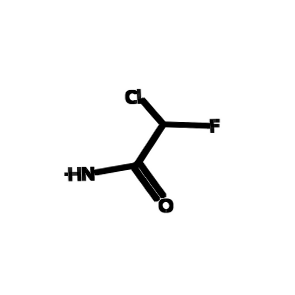 [NH]C(=O)C(F)Cl